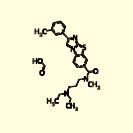 CCN(CC)CCCN(C)C(=O)c1ccc2c(c1)sc1nc(-c3cccc(C)c3)cn12.O=CO